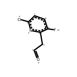 O=CCc1nc(Cl)ccc1F